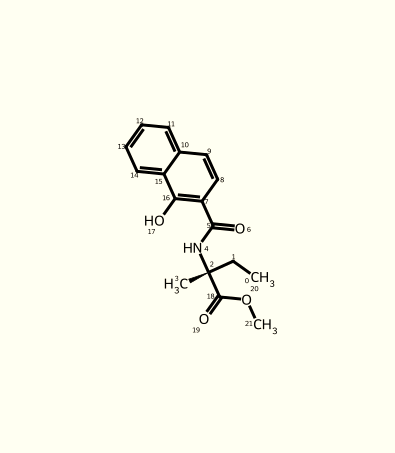 CC[C@@](C)(NC(=O)c1ccc2ccccc2c1O)C(=O)OC